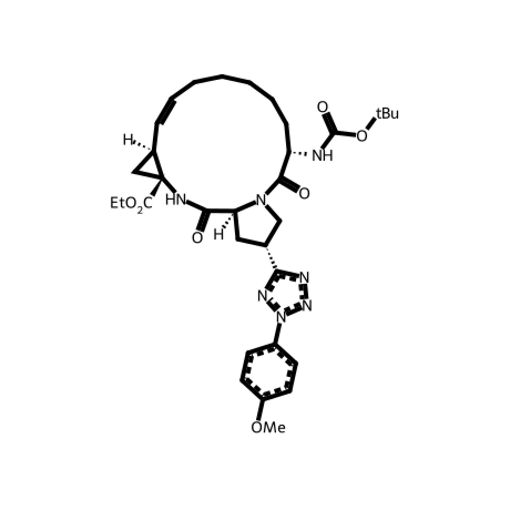 CCOC(=O)[C@@]12C[C@H]1/C=C\CCCCC[C@H](NC(=O)OC(C)(C)C)C(=O)N1C[C@H](c3nnn(-c4ccc(OC)cc4)n3)C[C@H]1C(=O)N2